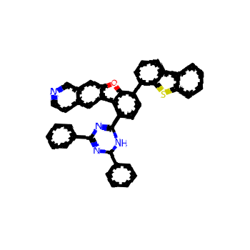 c1ccc(C2=NC(c3ccccc3)NC(c3ccc(-c4cccc5c4sc4ccccc45)c4oc5cc6cnccc6cc5c34)=N2)cc1